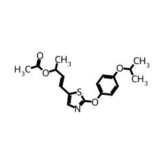 CC(=O)OC(C)C=Cc1cnc(Oc2ccc(OC(C)C)cc2)s1